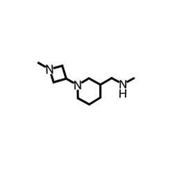 CNCC1CCCN(C2CN(C)C2)C1